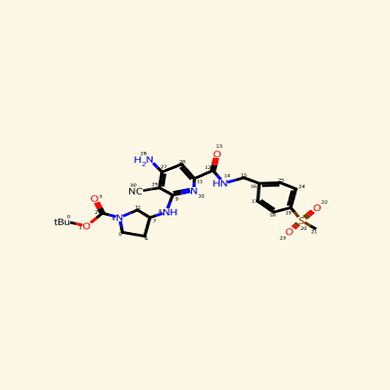 CC(C)(C)OC(=O)N1CCC(Nc2nc(C(=O)NCc3ccc(S(C)(=O)=O)cc3)cc(N)c2C#N)C1